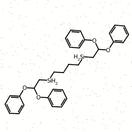 c1ccc(OC(C[SiH2]CCCC[SiH2]CC(Oc2ccccc2)Oc2ccccc2)Oc2ccccc2)cc1